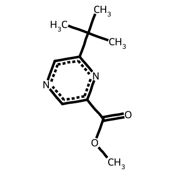 COC(=O)c1cncc(C(C)(C)C)n1